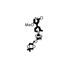 COc1cnc(Cl)cc1C1=CCN(c2nnc(OC[C@@H]3COC(C)(C)CO3)s2)C(C)=C1